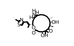 CC(=Cc1csc(C)n1)[C@@H]1C[C@@H]2N[C@@H]2CCC[C@H](C)[C@H](O)[C@@H](C)C(=O)C(C)(C)[C@@H](O)CC(=O)O1